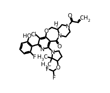 C=CC(=O)N1CCN2C(=O)c3c(N4CCC(OC(F)F)C4(C)C)nc(-c4c(O)cccc4F)c(Cl)c3OC[C@H]2C1